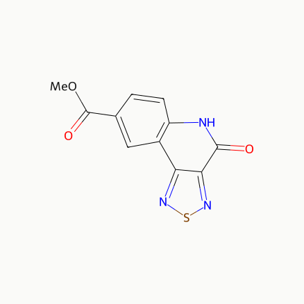 COC(=O)c1ccc2[nH]c(=O)c3nsnc3c2c1